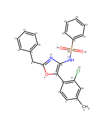 Cc1ccc(-c2oc(Cc3ccccc3)nc2NS(=O)(=O)c2ccccc2)c(Cl)c1